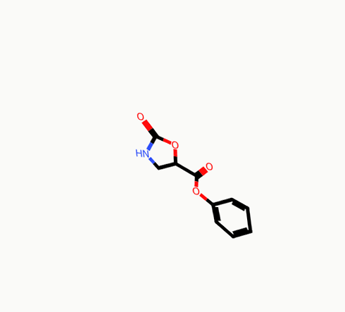 O=C1NCC(C(=O)Oc2ccccc2)O1